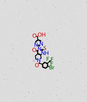 C[C@@H]1Cc2c([nH]c(=S)n(-c3ncc(C(=O)O)cn3)c2=O)CN1C(=O)c1ccc(Br)c(C(F)(F)F)c1